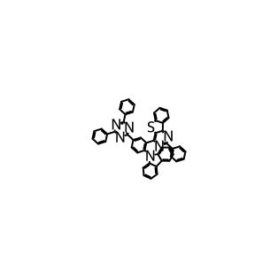 c1ccc(-c2nc(-c3ccccc3)nc(-c3ccc(-n4c5ccccc5c5ccccc54)c(-c4nc(-c5ccccc5)nc5c4sc4ccccc45)c3)n2)cc1